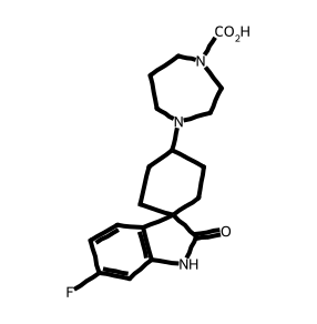 O=C(O)N1CCCN(C2CCC3(CC2)C(=O)Nc2cc(F)ccc23)CC1